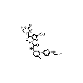 CC1=CCC(NC(=O)Nc2sc(C(C)(C)C)cc2C(=O)N2CCNC(=O)C2(C)C)C=C1c1ccc(NCC(C)C)nc1